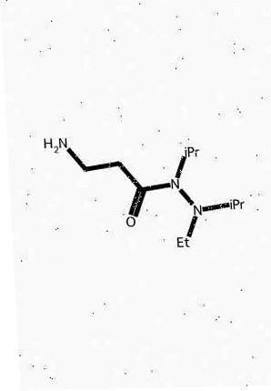 CCN(C(C)C)N(C(=O)CCN)C(C)C